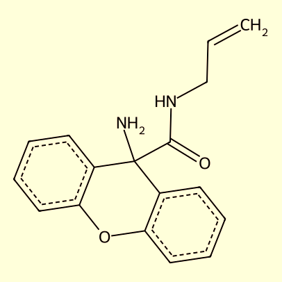 C=CCNC(=O)C1(N)c2ccccc2Oc2ccccc21